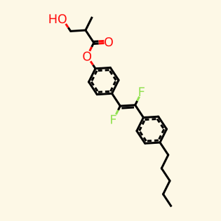 CCCCCc1ccc(/C(F)=C(\F)c2ccc(OC(=O)C(C)CO)cc2)cc1